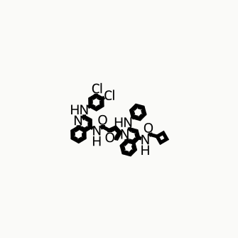 O=C(Nc1cc(Nc2ccc(Cl)c(Cl)c2)nc2ccccc12)c1ccco1.O=C(Nc1cc(Nc2ccccc2)nc2ccccc12)C1CCC1